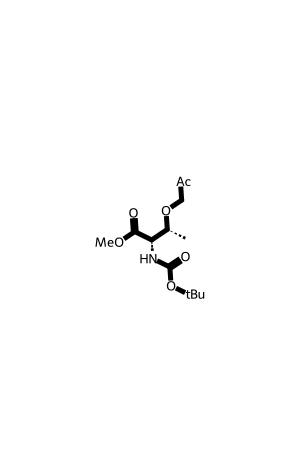 COC(=O)[C@@H](NC(=O)OC(C)(C)C)[C@@H](C)OCC(C)=O